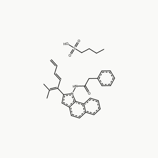 C=CC=CC(=C(C)C)c1cc2ccc3ccccc3c2n1NC(=O)Cc1ccccc1.CCCCS(=O)(=O)O